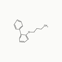 CCC[CH]Oc1ccccc1-c1ccccc1